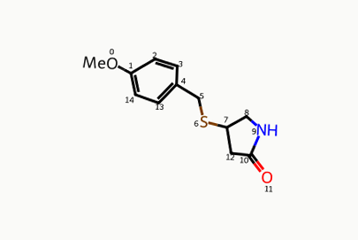 COc1ccc(CSC2CNC(=O)C2)cc1